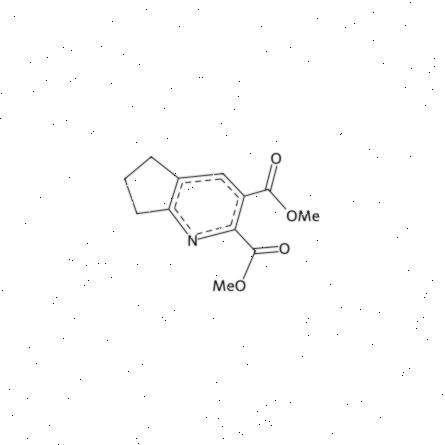 COC(=O)c1cc2c(nc1C(=O)OC)CCC2